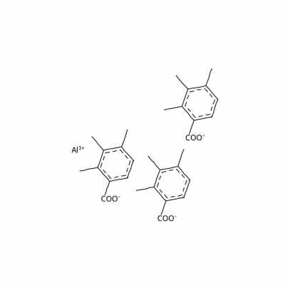 Cc1ccc(C(=O)[O-])c(C)c1C.Cc1ccc(C(=O)[O-])c(C)c1C.Cc1ccc(C(=O)[O-])c(C)c1C.[Al+3]